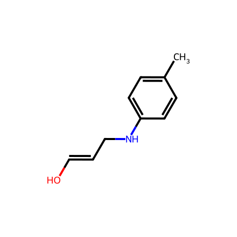 Cc1ccc(NCC=CO)cc1